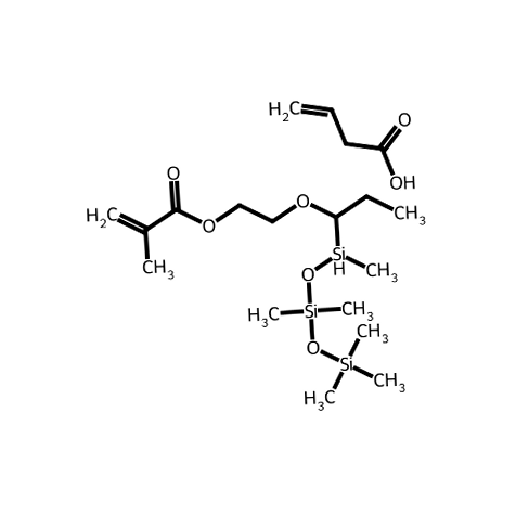 C=C(C)C(=O)OCCOC(CC)[SiH](C)O[Si](C)(C)O[Si](C)(C)C.C=CCC(=O)O